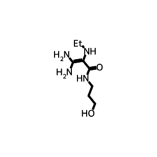 CCNC(C(=O)NCCCO)=C(N)N